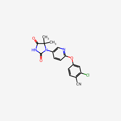 CC1(C)C(=O)NC(=O)N1c1ccc(Oc2ccc(C#N)c(Cl)c2)nc1